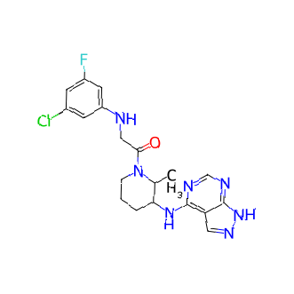 CC1C(Nc2ncnc3[nH]ncc23)CCCN1C(=O)CNc1cc(F)cc(Cl)c1